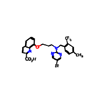 CCc1cnc(N(CCCOc2cccc3ccc(C(=O)O)nc23)Cc2ccc(C)cc2C(F)(F)F)nc1